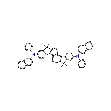 CC1(C)c2cc(N(c3ccccc3)c3ccc4ccccc4c3)ccc2-c2c1ccc1c2=CCC2C=1C1=C(C=C(N(c3ccccc3)c3ccc4ccccc4c3)CC1)C2(C)C